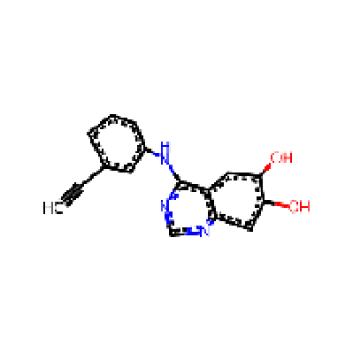 C#Cc1cccc(Nc2ncnc3cc(O)c(O)cc23)c1